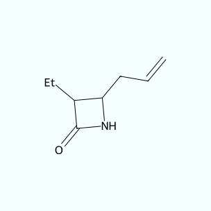 C=CCC1NC(=O)C1CC